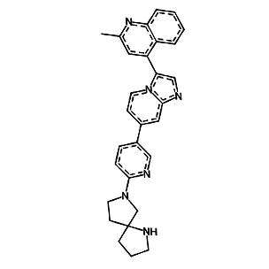 Cc1cc(-c2cnc3cc(-c4ccc(N5CCC6(CCCN6)C5)nc4)ccn23)c2ccccc2n1